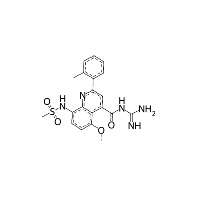 COc1ccc(NS(C)(=O)=O)c2nc(-c3ccccc3C)cc(C(=O)NC(=N)N)c12